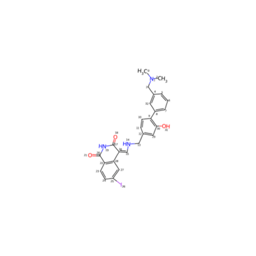 CN(C)Cc1cccc(-c2ccc(CNC=C3C(=O)NC(=O)c4ccc(I)cc43)cc2O)c1